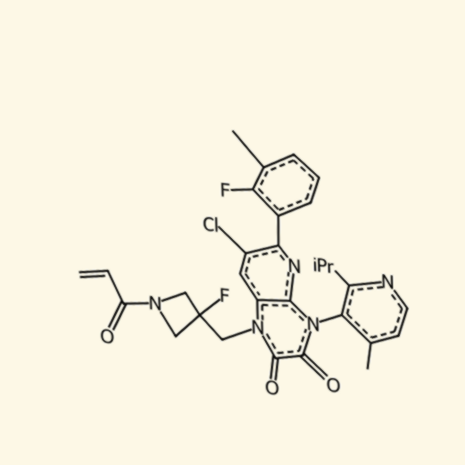 C=CC(=O)N1CC(F)(Cn2c(=O)c(=O)n(-c3c(C)ccnc3C(C)C)c3nc(-c4cccc(C)c4F)c(Cl)cc32)C1